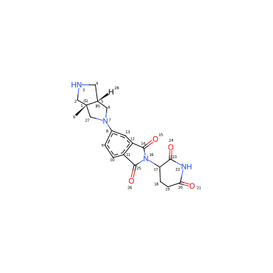 C[C@@]12CNC[C@@H]1CN(c1ccc3c(c1)C(=O)N(C1CCC(=O)NC1=O)C3=O)C2